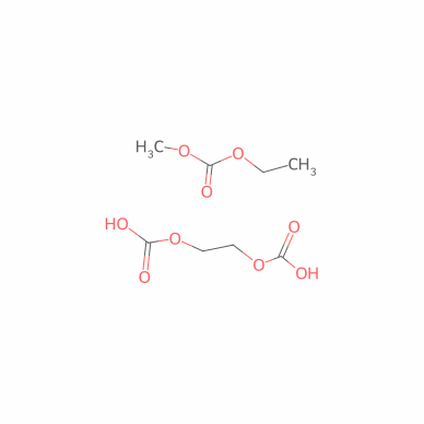 CCOC(=O)OC.O=C(O)OCCOC(=O)O